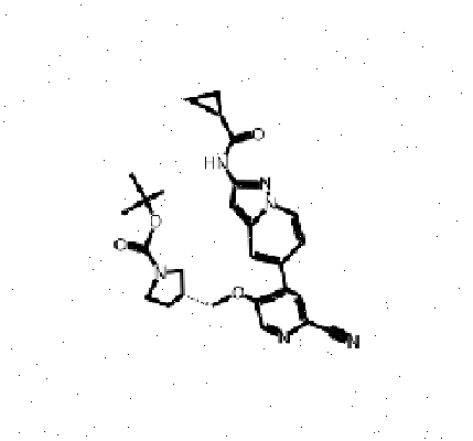 CC(C)(C)OC(=O)N1CC[C@@H](COc2cnc(C#N)cc2-c2ccn3nc(NC(=O)C4CC4)cc3c2)C1